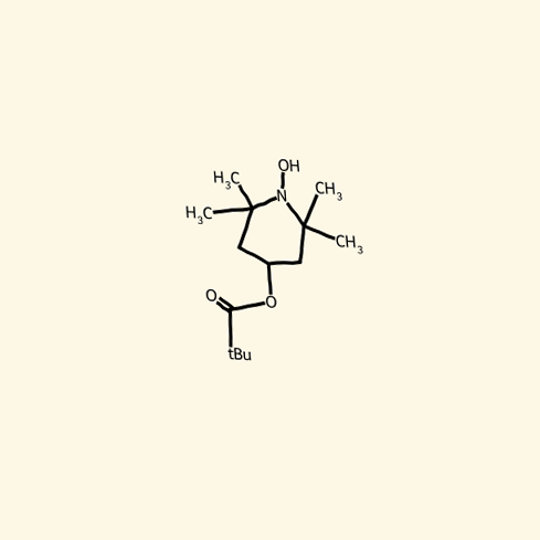 CC(C)(C)C(=O)OC1CC(C)(C)N(O)C(C)(C)C1